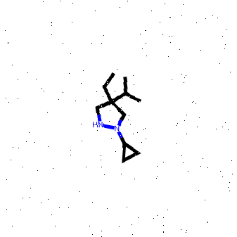 CCC1(C(C)C)CNN(C2CC2)C1